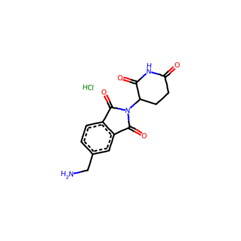 Cl.NCc1ccc2c(c1)C(=O)N(C1CCC(=O)NC1=O)C2=O